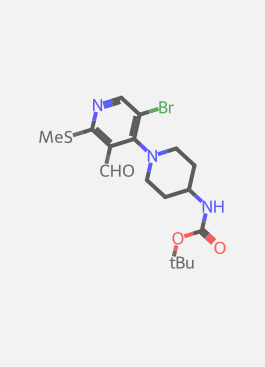 CSc1ncc(Br)c(N2CCC(NC(=O)OC(C)(C)C)CC2)c1C=O